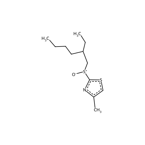 CCCCC(CC)C[S+]([O-])c1nc(C)cs1